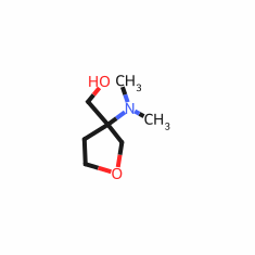 CN(C)C1(CO)CCOC1